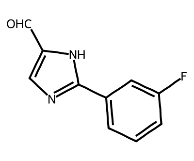 O=Cc1cnc(-c2cccc(F)c2)[nH]1